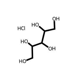 Cl.OCC(O)C(O)C(O)CO